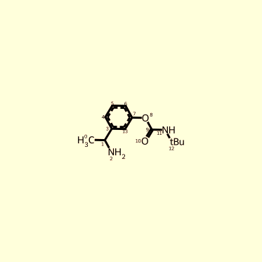 CC(N)c1cccc(OC(=O)NC(C)(C)C)c1